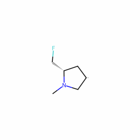 CN1C[CH]C[C@H]1CF